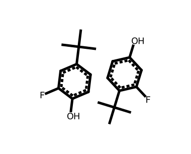 CC(C)(C)c1ccc(O)c(F)c1.CC(C)(C)c1ccc(O)cc1F